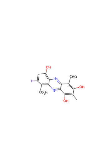 Cc1c(O)c(C=O)c2nc3c(O)cc(I)c(C(=O)O)c3nc2c1O